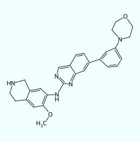 COc1cc2c(cc1Nc1ncc3ccc(-c4cccc(N5CCOCC5)c4)cc3n1)CNCC2